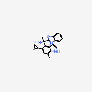 Cc1cc(C2CC2)c(C(C)(N)c2nc3ccccc3[nH]2)c2cc[nH]c12